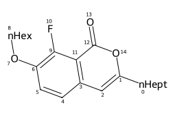 CCCCCCCc1cc2ccc(OCCCCCC)c(F)c2c(=O)o1